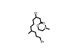 CCC(CCCC(C)CCCC(C)C)CC(=O)OCCN(C)C